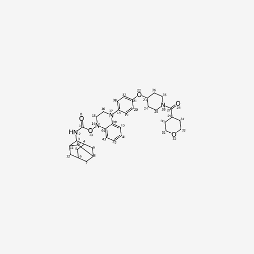 O=C(NC1C2CC3CC(C2)CC1C3)ON1CCN(c2ccc(OC3CCN(C(=O)C4CCOCC4)CC3)cc2)c2ccccc21